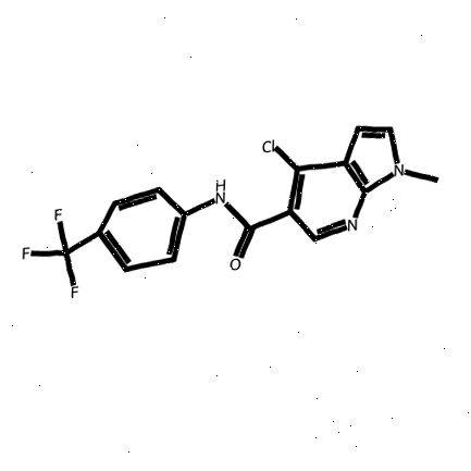 Cn1ccc2c(Cl)c(C(=O)Nc3ccc(C(F)(F)F)cc3)cnc21